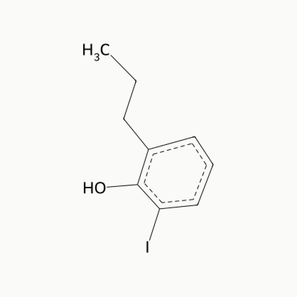 CCCc1cccc(I)c1O